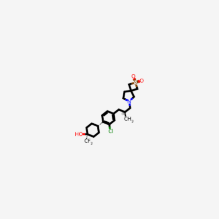 C[C@@H](Cc1ccc([C@H]2CC[C@@](O)(C(F)(F)F)CC2)c(Cl)c1)CN1CCC2(C1)CS(=O)(=O)C2